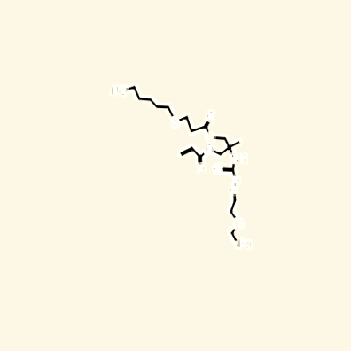 C=CC(=O)OCC(C)(COC(=O)CCSCCCCCO)NC(=O)OCCCOCC(C)CC